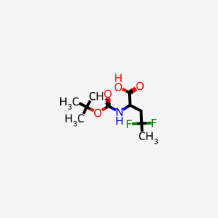 CC(F)(F)CC(NC(=O)OC(C)(C)C)C(=O)O